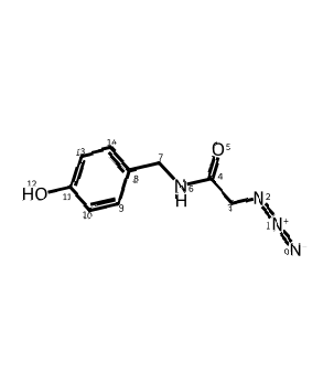 [N-]=[N+]=NCC(=O)NCc1ccc(O)cc1